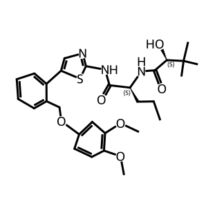 CCC[C@H](NC(=O)[C@@H](O)C(C)(C)C)C(=O)Nc1ncc(-c2ccccc2COc2ccc(OC)c(OC)c2)s1